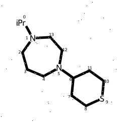 CC(C)N1CCCN(C2CCSCC2)CC1